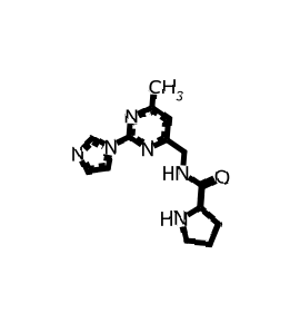 Cc1cc(CNC(=O)C2CCCN2)nc(-n2ccnc2)n1